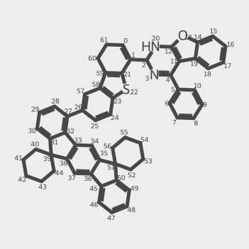 C1=C(C2N=C(c3ccccc3)c3c(oc4ccccc34)N2)c2sc3ccc(-c4cccc5c4-c4cc6c(cc4C54CCCCC4)-c4ccccc4C64CCCCC4)cc3c2CC1